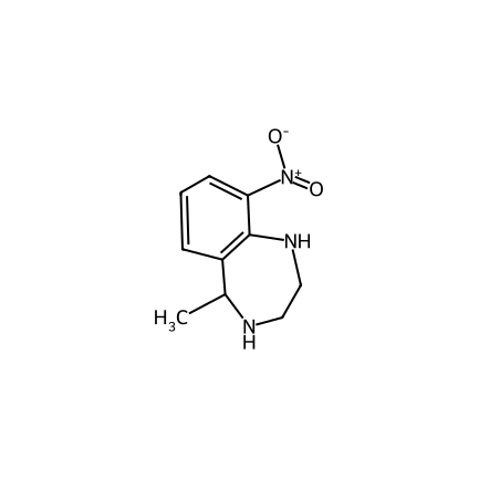 CC1NCCNc2c1cccc2[N+](=O)[O-]